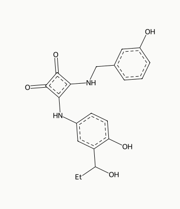 CCC(O)c1cc(Nc2c(NCc3cccc(O)c3)c(=O)c2=O)ccc1O